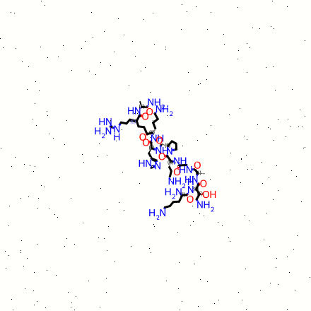 C[C@H](NC(=O)/C(=C/CCNC(=N)N)CCC(=O)[C@H](CCCCN)NC(=O)[C@H](Cc1cnc[nH]1)NC(=O)[C@@H]1CCCN1C(=O)[C@@H](CCCN)NC(=O)CNC(=O)[C@H](C)NC(=O)[C@@H](NC(=O)[C@@H](N)CCCCN)[C@@H](O)CN)C(N)=O